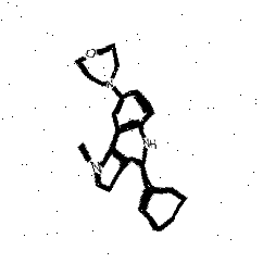 CN1CCC2C(C3CCCCC3)Nc3ccc(N4CCOCC4)cc3C21